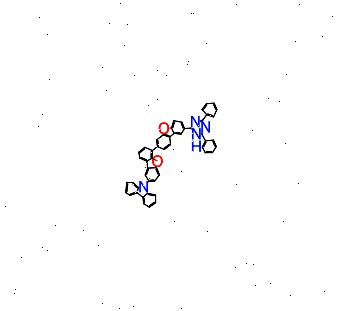 c1ccc(C2=NC(c3ccc4oc5cc(-c6cccc7c6oc6ccc(-n8c9ccccc9c9ccccc98)cc67)ccc5c4c3)NC(c3ccccc3)=N2)cc1